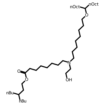 CCCCCCCCC(CCCCCCCC)OCCCCCCCCN(CCO)CCCCCCCC(=O)OCCC(CCCC)CCCC